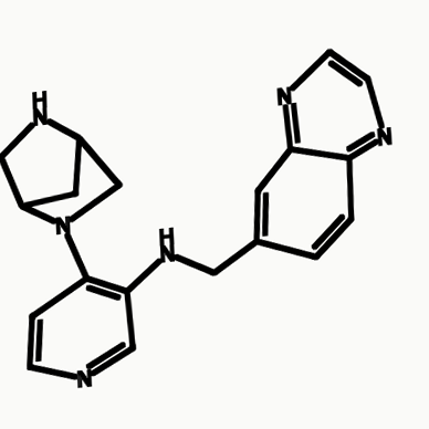 c1cc(N2CC3CC2CN3)c(NCc2ccc3nccnc3c2)cn1